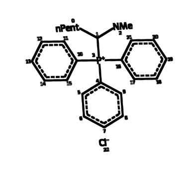 CCCCCC(NC)[P+](c1ccccc1)(c1ccccc1)c1ccccc1.[Cl-]